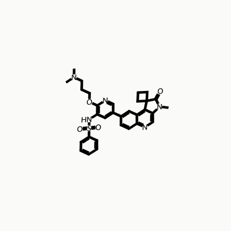 CN(C)CCCOc1ncc(-c2ccc3ncc4c(c3c2)C2(CCC2)C(=O)N4C)cc1NS(=O)(=O)c1ccccc1